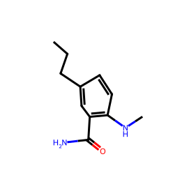 CCCc1ccc(NC)c(C(N)=O)c1